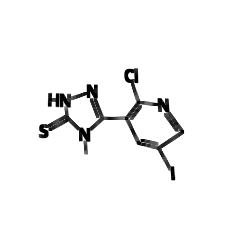 Cn1c(-c2cc(I)cnc2Cl)n[nH]c1=S